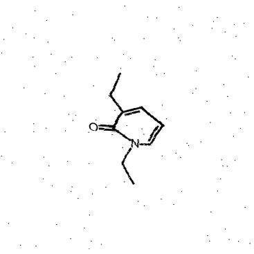 CCc1cccn(CC)c1=O